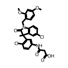 COc1ccc(CN2C(=O)C(C)(c3cc(NC(=O)CC(=O)O)ccc3Cl)c3cc(Cl)ccc32)c(OC)c1